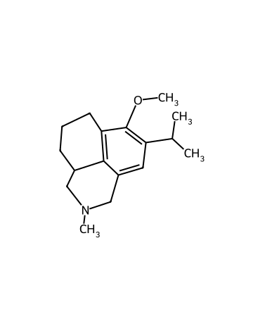 COc1c(C(C)C)cc2c3c1CCCC3CN(C)C2